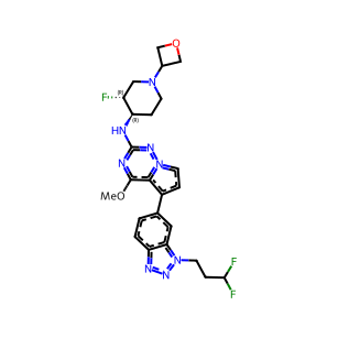 COc1nc(N[C@@H]2CCN(C3COC3)C[C@H]2F)nn2ccc(-c3ccc4nnn(CCC(F)F)c4c3)c12